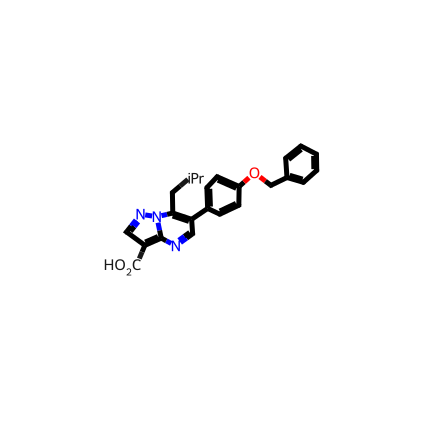 CC(C)Cc1c(-c2ccc(OCc3ccccc3)cc2)cnc2c(C(=O)O)cnn12